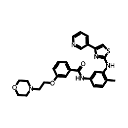 Cc1ccc(NC(=O)c2cccc(OCCN3CCOCC3)c2)cc1Nc1nc(-c2cccnc2)cs1